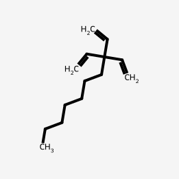 C=CC(C=C)(C=C)CCCCCCC